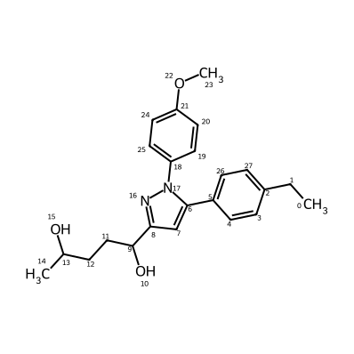 CCc1ccc(-c2cc(C(O)CCC(C)O)nn2-c2ccc(OC)cc2)cc1